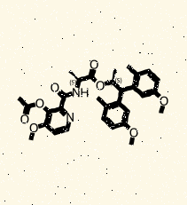 COc1ccc(C)c(C(c2cc(OC)ccc2C)[C@H](C)OC(=O)[C@H](C)NC(=O)c2nccc(OC)c2OC(C)=O)c1